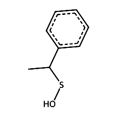 CC(SO)c1ccccc1